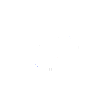 CN1c2ccccc2CC1C(=O)C(=O)C1Cc2ccccc2N1C